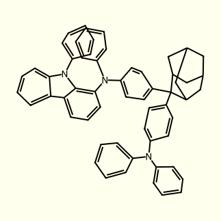 c1ccc(N(c2ccccc2)c2ccc(C3(c4ccc(N(c5ccccc5)c5cccc6c7ccccc7n(-c7ccccc7)c56)cc4)C4CC5CC(C4)CC3C5)cc2)cc1